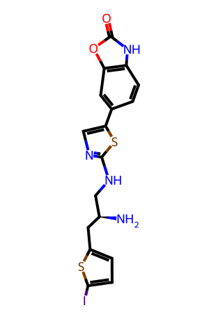 N[C@H](CNc1ncc(-c2ccc3[nH]c(=O)oc3c2)s1)Cc1ccc(I)s1